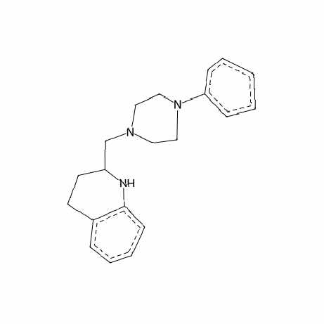 c1ccc(N2CCN(CC3CCc4ccccc4N3)CC2)cc1